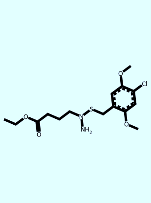 CCOC(=O)CCCN(N)SCc1cc(OC)c(Cl)cc1OC